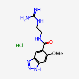 COc1cc2[nH]nnc2cc1C(=O)NCCNC(=N)N.Cl